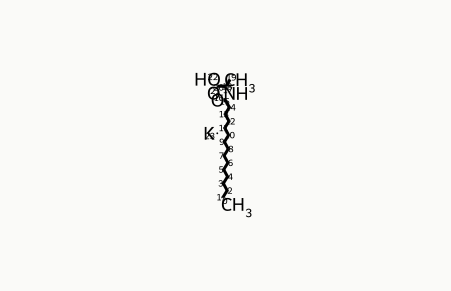 CCCCCCCCCCCCCCCC(=O)NC(C)C(=O)O.[K]